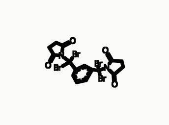 O=C1CCC(=O)N1C(Br)(Br)c1cccc(C(Br)(Br)N2C(=O)CCC2=O)c1